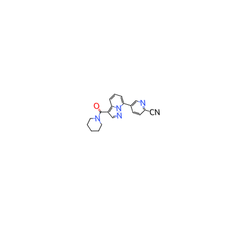 N#Cc1ccc(-c2cccc3c(C(=O)N4CCCCC4)cnn23)cn1